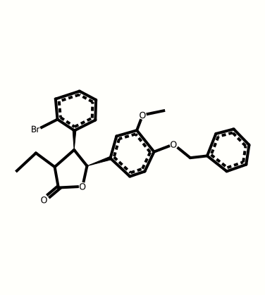 CCC1C(=O)O[C@H](c2ccc(OCc3ccccc3)c(OC)c2)[C@@H]1c1ccccc1Br